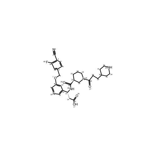 N#Cc1ccc(COc2cncc([C@@H](CC(=O)O)NC(=O)[C@H]3CCCN(C(=O)CCC4CCNCC4)C3)c2)cc1F